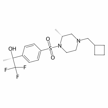 C[C@@H]1CN(CC2CCC2)CCN1S(=O)(=O)c1ccc([C@](C)(O)C(F)(F)F)cc1